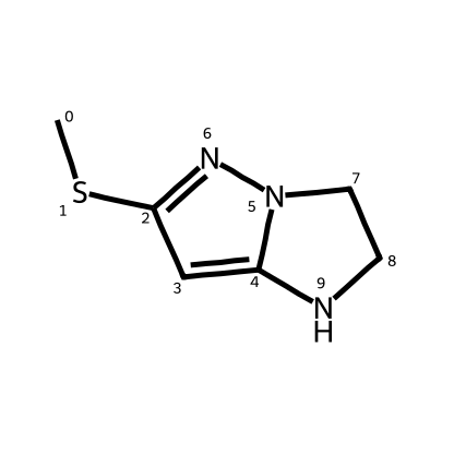 CSc1cc2n(n1)CCN2